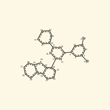 Brc1cc(Br)cc(-c2nc(-c3ccccc3)nc(-c3cccc4c3sc3ccccc34)n2)c1